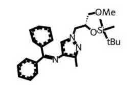 COC[C@@H](Cn1cc(N=C(c2ccccc2)c2ccccc2)c(C)n1)O[Si](C)(C)C(C)(C)C